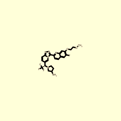 COCCOc1cc2nc(-c3nnc4ccc([C@@H](N5CCC(N)C5)C(F)(F)F)cn34)ccc2cc1F